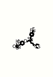 COC1=CC(OCc2sc(-c3ccc(C(F)(F)F)cc3)nc2CCCN2CCSCC2)CC=C1c1noc(=O)[nH]1